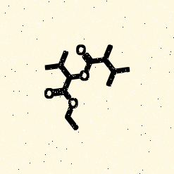 CCOC(=O)C(OC(=O)C(C)C(C)C)C(C)C